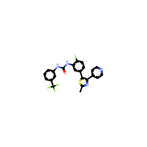 Cc1nc(-c2ccncc2)c(-c2ccc(F)c(NC(=O)Nc3cccc(C(F)(F)F)c3)c2)s1